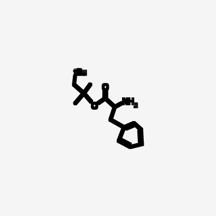 CC(C)(C)CC(C)(C)OC(=O)C(N)Cc1ccccc1